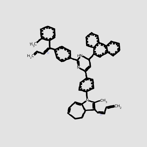 C=C/C=C\C1=C(C)N(c2ccc(C3=CC(c4cc5ccccc5c5ccccc45)NC(c4ccc(/C(=C/C=C)c5ccccc5C)cc4)=N3)cc2)C2=CC=CCCC21